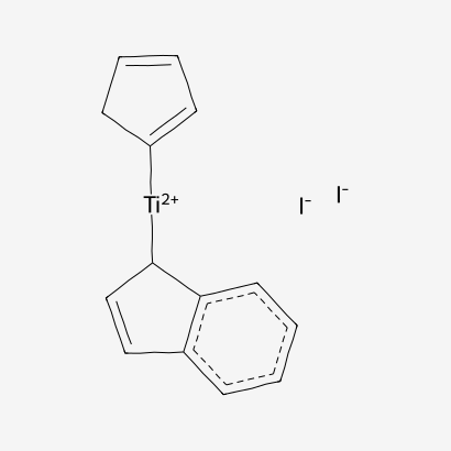 C1=CC[C]([Ti+2][CH]2C=Cc3ccccc32)=C1.[I-].[I-]